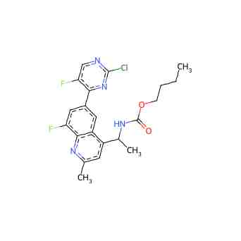 CCCCOC(=O)NC(C)c1cc(C)nc2c(F)cc(-c3nc(Cl)ncc3F)cc12